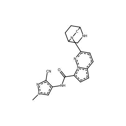 Cn1cc(NC(=O)c2ccc3ccc(N4CC5CCC4CN5)nn23)c(C#N)n1